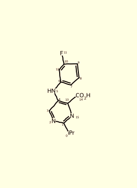 CC(C)c1ncc(Nc2cccc(F)c2)c(C(=O)O)n1